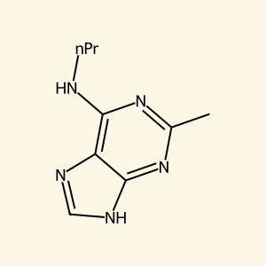 CCCNc1nc(C)nc2[nH]cnc12